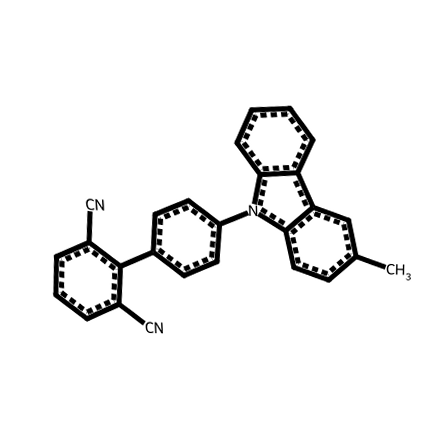 Cc1ccc2c(c1)c1ccccc1n2-c1ccc(-c2c(C#N)cccc2C#N)cc1